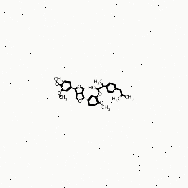 COc1ccc([C@H]2OCC3C2CO[C@H]3c2ccc(OC)c(OC(O)C(C)c3ccc(CC(C)C)cc3)c2)cc1OC